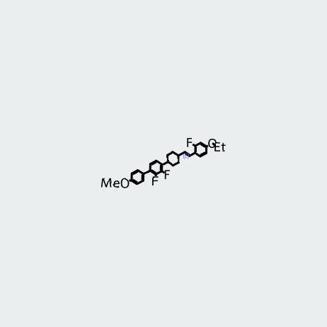 CCOc1ccc(/C=C/C2CCC(c3ccc(-c4ccc(OC)cc4)c(F)c3F)CC2)c(F)c1